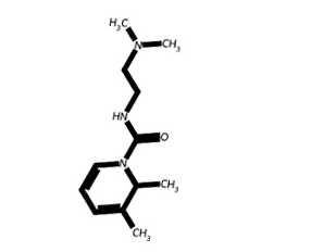 CC1=CC=CN(C(=O)NCCN(C)C)C1C